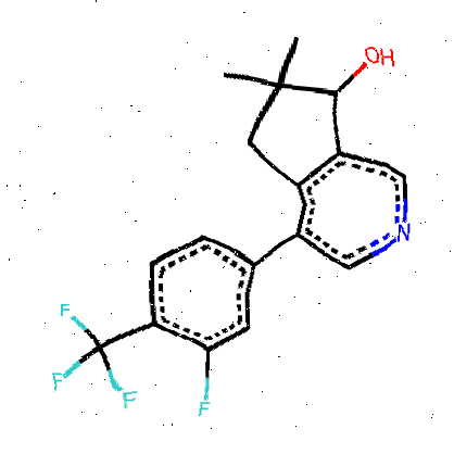 CC1(C)Cc2c(-c3ccc(C(F)(F)F)c(F)c3)cncc2C1O